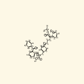 COC(=O)C(Cc1ccc(OCCCN(C(=O)CC(C)C)c2ccccc2F)cc1)Nc1ccccc1C(=O)c1ccccc1